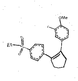 CCS(=O)(=O)c1ccc(C2=C(c3ccc(OC)c(F)c3)CCC2)cc1